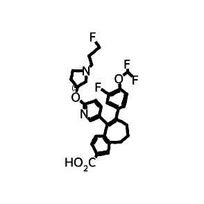 O=C(O)c1ccc2c(c1)CCCC(c1ccc(OC(F)F)c(F)c1)=C2c1ccc(O[C@H]2CCN(CCCF)C2)nc1